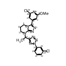 COc1cc(-c2nnc3n2CCCN3C(C)c2nnn(-c3cccc(Cl)c3)n2)cc(Cl)n1